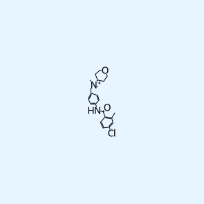 Cc1cc(Cl)ccc1C(=O)Nc1ccc(C[N+](C)(C)C2CCOCC2)cc1